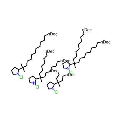 CCCCCCCCCCCCC(C)(CCCCCCCCCCCC)C1CCCN1Cl.CCCCCCCCCCCCCCCCC(C)(CCCCCCCCCCCCCCCC)C1CCCN1Cl.CCCCCCCCCCCCCCCCCCC(C)(CCCCCCCCCCCCCCCCCC)C1CCCN1Cl.CCCCCCCCCCCCCCCCCCCCC(C)(C)C1CCCN1Cl